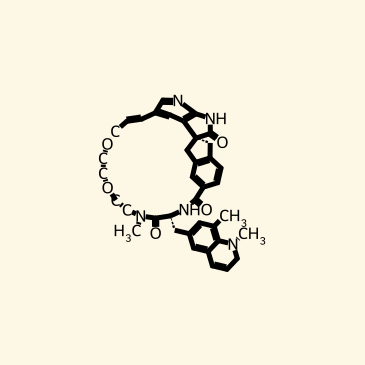 Cc1cc(C[C@H]2NC(=O)c3ccc4c(c3)C[C@]3(C4)C(=O)Nc4ncc(cc43)/C=C/COCCOCCN(C)C2=O)cc2c1N(C)CC=C2